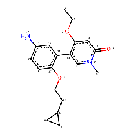 CCOc1cc(=O)n(C)cc1-c1cc(N)ccc1OCCC1CC1